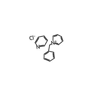 [Cl-].c1ccc(C[n+]2ccccc2)cc1.c1ccncc1